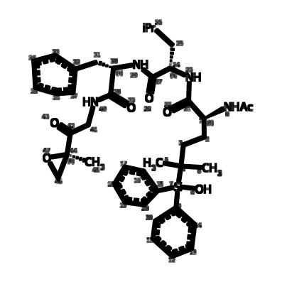 CC(=O)N[C@@H](CCC(C)(C)[Si](O)(c1ccccc1)c1ccccc1)C(=O)N[C@@H](CC(C)C)C(=O)N[C@@H](Cc1ccccc1)C(=O)NCC(=O)[C@@]1(C)CO1